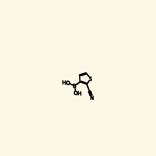 N#Cc1sccc1B(O)O